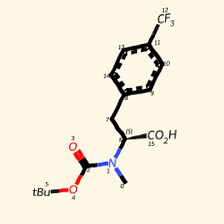 CN(C(=O)OC(C)(C)C)[C@@H](Cc1ccc(C(F)(F)F)cc1)C(=O)O